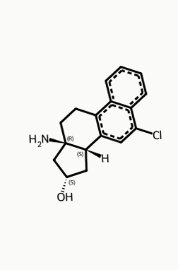 N[C@@]12CCc3c(cc(Cl)c4ccccc34)[C@@H]1C[C@H](O)C2